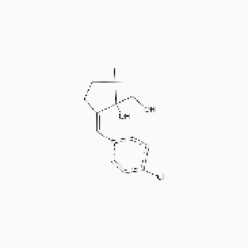 CC1(C)CCC(=Cc2ccc(Cl)cc2)C1(O)CO